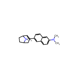 CN(C)c1ccc2cc(C3=CC4CCC(C3)N4C)ccc2c1